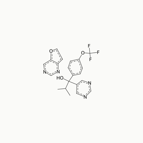 CC(C)C(O)(c1ccc(OC(F)(F)F)cc1)c1cncnc1.c1ncc2occc2n1